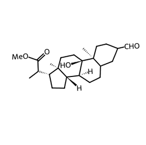 COC(=O)C(C)[C@H]1CC[C@H]2[C@@H]3CCC4CC(C=O)CC[C@]4(C)[C@@]3(O)CC[C@]12C